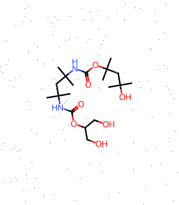 CC(C)(O)CC(C)(C)OC(=O)NC(C)(C)CC(C)(C)NC(=O)OC(CO)CO